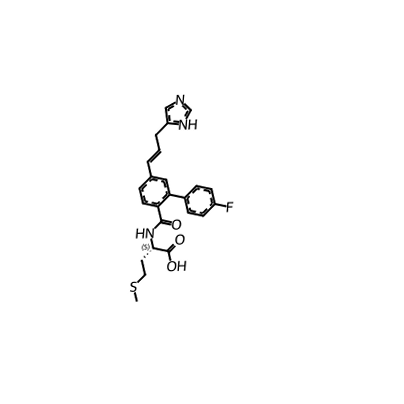 CSCC[C@H](NC(=O)c1ccc(C=CCc2cnc[nH]2)cc1-c1ccc(F)cc1)C(=O)O